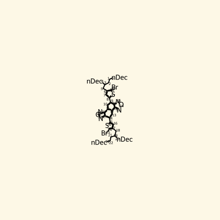 CCCCCCCCCCCCC(CCCCCCCCCC)Cc1cc(-c2cc3c(cc(-c4cc(CC(CCCCCCCCCC)CCCCCCCCCCCC)c(Br)s4)c4nonc43)c3nonc23)sc1Br